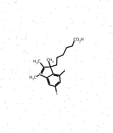 CC1=[N+](C)c2cc(I)cc(I)c2C1(C)CCCCCC(=O)O